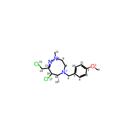 COc1ccc(CN2CCN(C)/N=C(/CCl)C(Cl)[C@H]2C)cc1